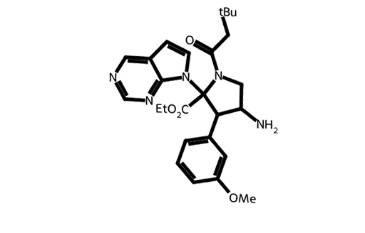 CCOC(=O)C1(n2ccc3cncnc32)C(c2cccc(OC)c2)C(N)CN1C(=O)CC(C)(C)C